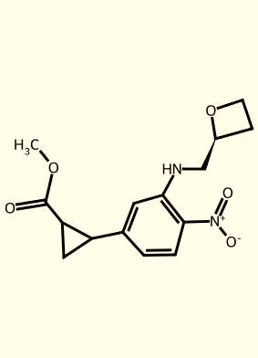 COC(=O)C1CC1c1ccc([N+](=O)[O-])c(NC[C@@H]2CCO2)c1